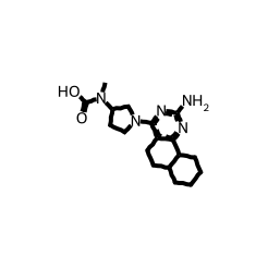 CN(C(=O)O)C1CCN(c2nc(N)nc3c2CCC2CCCCC32)C1